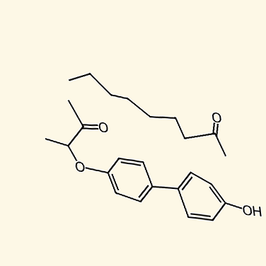 CC(=O)C(C)Oc1ccc(-c2ccc(O)cc2)cc1.CCCCCCCC(C)=O